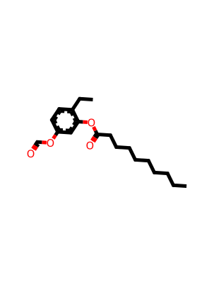 CCCCCCCCCC(=O)Oc1cc(OC=O)ccc1CC